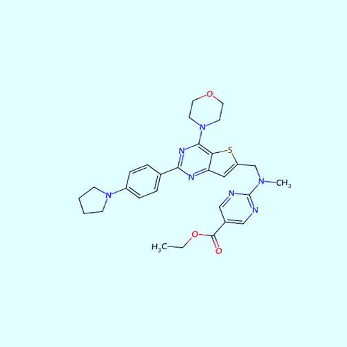 CCOC(=O)c1cnc(N(C)Cc2cc3nc(-c4ccc(N5CCCC5)cc4)nc(N4CCOCC4)c3s2)nc1